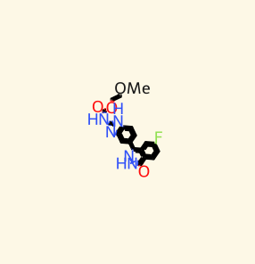 COCCOC(=O)Nc1nc2cc(-c3n[nH]c(=O)c4ccc(F)cc34)ccc2[nH]1